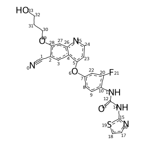 N#Cc1cc2c(Oc3ccc(NC(=O)Nc4nccs4)c(F)c3)ccnc2cc1OCCCO